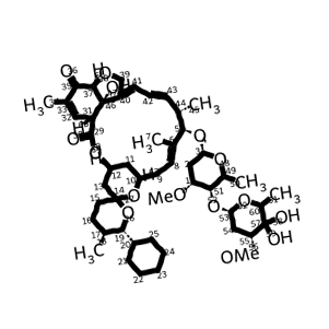 CO[C@@H]1C[C@H](O[C@@H]2/C(C)=C/C[C@@H]3C[C@@H](CC4(CC[C@H](C)[C@@H](C5CCCCC5)O4)O3)OC(=O)[C@@H]3C=C(C)C(=O)[C@H]4OC/C(=C\C=C\[C@@H]2C)[C@]43O)OC(C)[C@@H]1O[C@H]1C[C@@H](OC)C(O)(O)C(C)O1